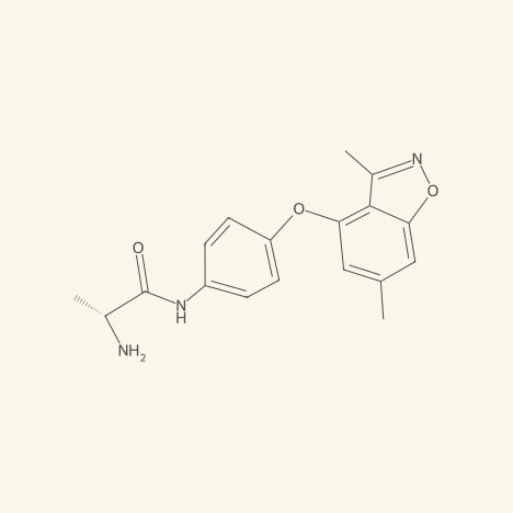 Cc1cc(Oc2ccc(NC(=O)[C@@H](C)N)cc2)c2c(C)noc2c1